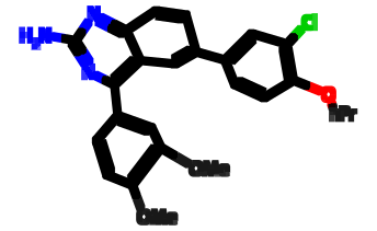 CCCOc1ccc(-c2ccc3nc(N)nc(-c4ccc(OC)c(OC)c4)c3c2)cc1Cl